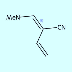 C=C/C(C#N)=C\NC